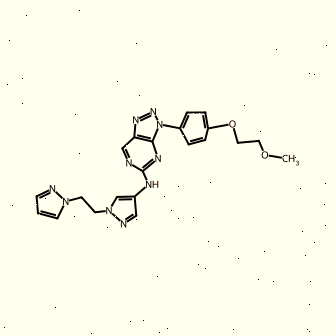 COCCOc1ccc(-n2nnc3cnc(Nc4cnn(CCn5cccn5)c4)nc32)cc1